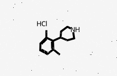 Cc1cccc(C)c1C1CCNCC1.Cl